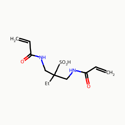 C=CC(=O)NCC(CC)(CNC(=O)C=C)S(=O)(=O)O